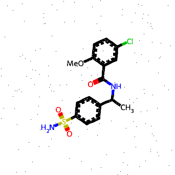 COc1ccc(Cl)cc1C(=O)NC(C)c1ccc(S(N)(=O)=O)cc1